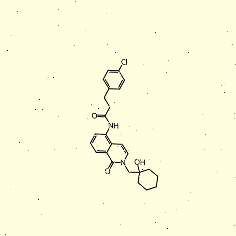 O=C(CCc1ccc(Cl)cc1)Nc1cccc2c(=O)n(CC3(O)CCCCC3)ccc12